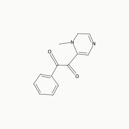 CN1CC=NC=C1C(=O)C(=O)c1ccccc1